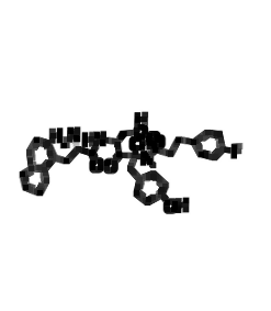 CN(C(=O)CCc1ccc(F)cc1)[C@]([C]=O)(Cc1ccc(O)cc1)C(=O)[C@H](CO)NC(=O)[C@@H](N)Cc1cccc2ccccc12